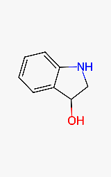 OC1CNc2ccccc21